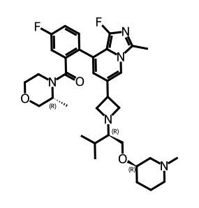 Cc1nc(F)c2c(-c3ccc(F)cc3C(=O)N3CCOC[C@H]3C)cc(C3CN([C@@H](CO[C@@H]4CCCN(C)C4)C(C)C)C3)cn12